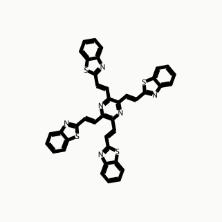 C(=Cc1nc(C=Cc2nc3ccccc3s2)c(C=Cc2nc3ccccc3s2)nc1C=Cc1nc2ccccc2s1)c1nc2ccccc2s1